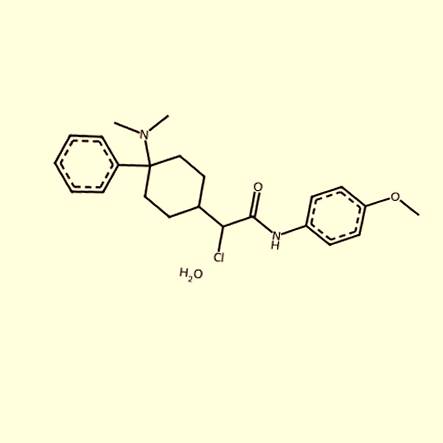 COc1ccc(NC(=O)C(Cl)C2CCC(c3ccccc3)(N(C)C)CC2)cc1.O